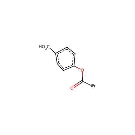 CC(C)C(=O)Oc1ccc(C(=O)O)cc1